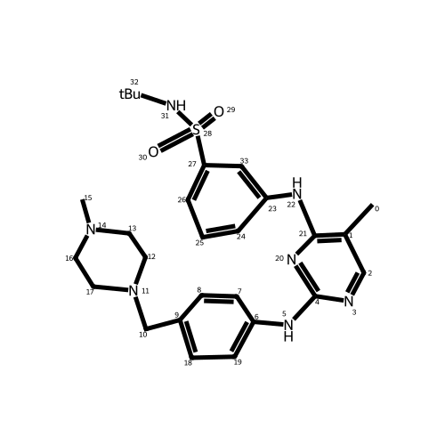 Cc1cnc(Nc2ccc(CN3CCN(C)CC3)cc2)nc1Nc1cccc(S(=O)(=O)NC(C)(C)C)c1